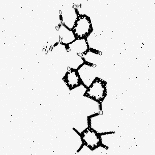 Cc1cc(C)c(C)c(COc2cccc(-c3ccoc3C(=O)OC(=O)c3ccc(O)c([N+](=O)[O-])c3C(=O)NN)c2)c1C